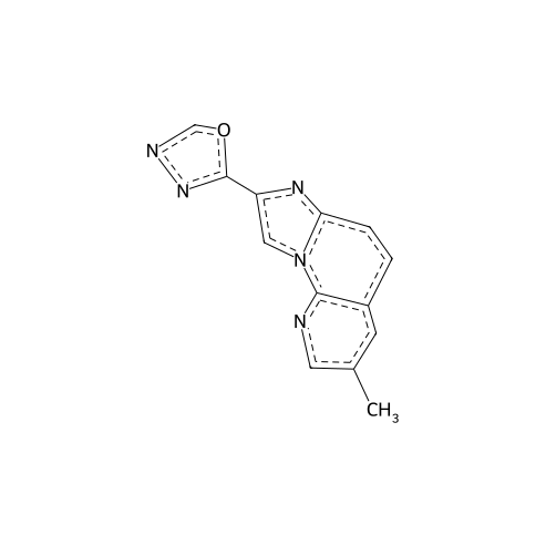 Cc1cnc2c(ccc3nc(-c4nnco4)cn32)c1